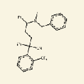 CCC(CCC(C#N)(c1ccccc1C(F)(F)F)C(C)C)N(C)Cc1ccccc1